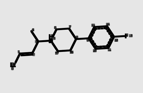 CC/C=C/C(C)[SiH]1CCC(c2ccc(F)cc2)CC1